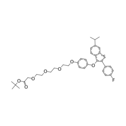 CC(C)c1ccc2c(Oc3ccc(OCCOCCOCCOCC(=O)OC(C)(C)C)cc3)c(-c3ccc(F)cc3)sc2c1